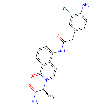 C[C@@H](C(N)=O)n1ccc2c(NC(=O)Cc3ccc(N)c(Cl)c3)cccc2c1=O